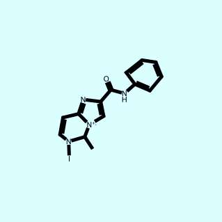 CC1N(I)C=CC2=NC(C(=O)Nc3ccccc3)=C[N+]21